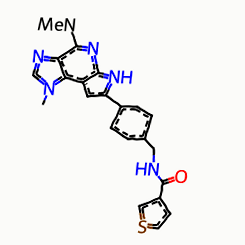 CNc1nc2[nH]c(-c3ccc(CNC(=O)c4ccsc4)cc3)cc2c2c1ncn2C